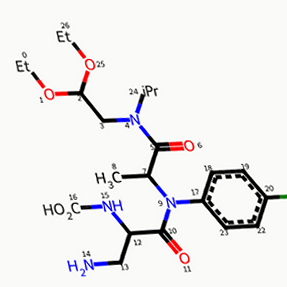 CCOC(CN(C(=O)C(C)N(C(=O)C(CN)NC(=O)O)c1ccc(F)cc1)C(C)C)OCC